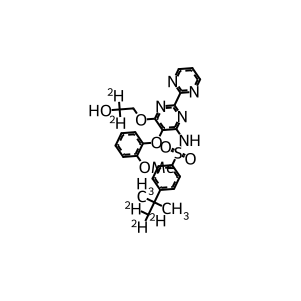 [2H]C([2H])(O)COc1nc(-c2ncccn2)nc(NS(=O)(=O)c2ccc(C(C)(C)C([2H])([2H])[2H])cc2)c1Oc1ccccc1OC